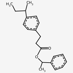 CCC(C)c1ccc(CCC(=O)OC(C)c2ccccc2)cc1